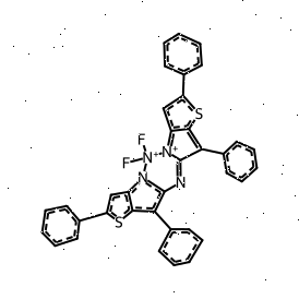 F[N+]1(F)n2c(c(-c3ccccc3)c3sc(-c4ccccc4)cc32)N=C2C(c3ccccc3)=c3sc(-c4ccccc4)cc3=[N+]21